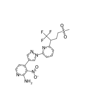 CS(=O)(=O)CCC(c1cccc(-n2cc(-c3ccnc(N)c3[N+](=O)[O-])cn2)n1)C(F)(F)F